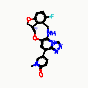 Cn1cc(-c2cc3c(n4cnnc24)NCc2c(F)ccc4c2/C(=C/O3)CO4)ccc1=O